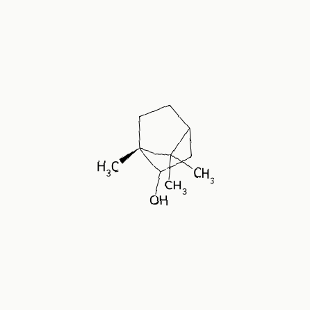 CC1(C)C2CC[C@@]1(C)C(O)C2